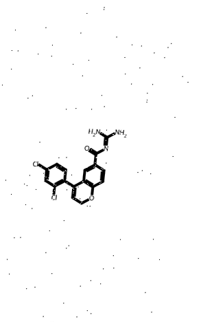 NC(N)=NC(=O)c1ccc2c(c1)C(c1ccc(Cl)cc1Cl)=CCO2